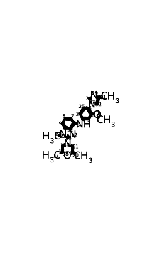 COc1cc(Nc2cccc3c2nc(N2CC(C)OC(C)C2)n3C)ccc1-n1cnc(C)c1